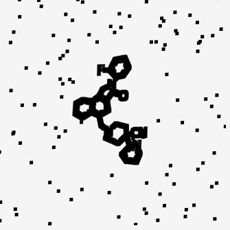 N#CC1(c2ccccn2)CCN(Cc2cc3c(c4ccccc24)CN(c2ccccc2F)C3=O)CC1